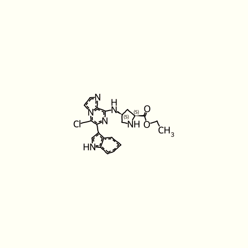 CCOC(=O)[C@@H]1C[C@H](Nc2nc(-c3c[nH]c4ccccc34)c(Cl)n3ccnc23)CN1